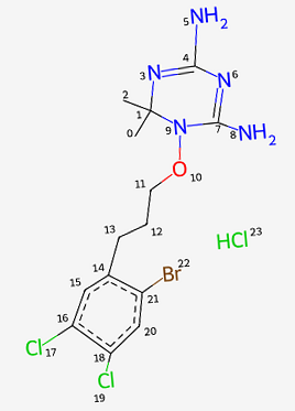 CC1(C)N=C(N)N=C(N)N1OCCCc1cc(Cl)c(Cl)cc1Br.Cl